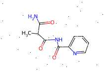 C[C](C(N)=O)C(=O)NC(=O)c1ccccn1